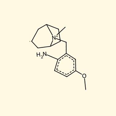 COc1ccc(N)c(C[N+]2(C)C3C[CH]CC2CC3)c1